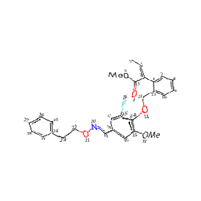 CC=C(C(=O)OC)c1ccccc1COc1c(F)cc(C=NOCCc2ccccc2)cc1OC